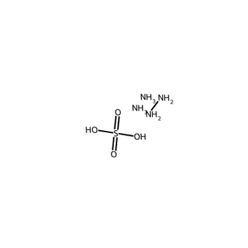 N.N.NN.O=S(=O)(O)O